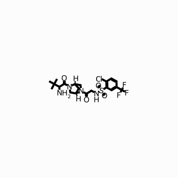 CC(C)(C)C(N)C(=O)N1C[C@@H]2C[C@H]1CN2C(=O)CNS(=O)(=O)c1cc(C(F)(F)F)ccc1Cl